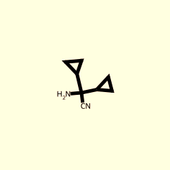 N#CC(N)(C1CC1)C1CC1